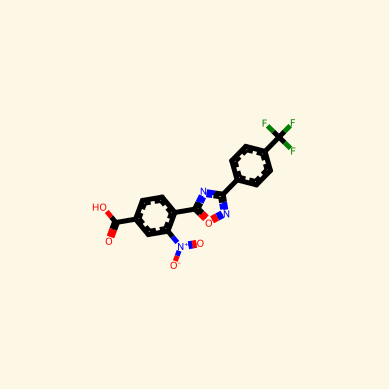 O=C(O)c1ccc(-c2nc(-c3ccc(C(F)(F)F)cc3)no2)c([N+](=O)[O-])c1